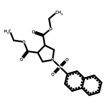 CCOC(=O)C1CN(S(=O)(=O)c2ccc3ccccc3c2)CC1C(=O)OCC